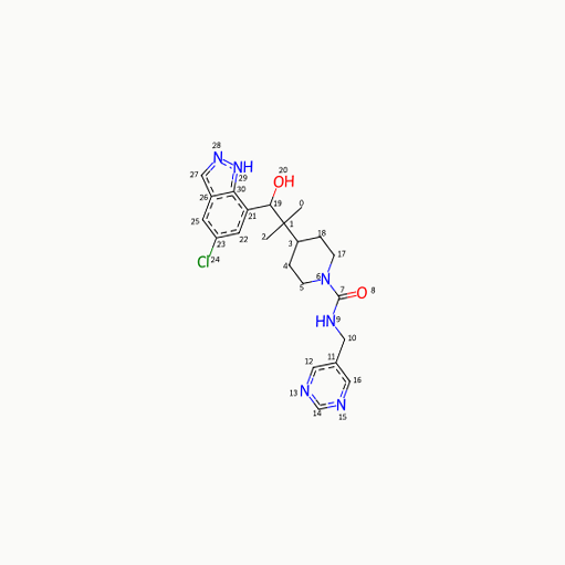 CC(C)(C1CCN(C(=O)NCc2cncnc2)CC1)C(O)c1cc(Cl)cc2cn[nH]c12